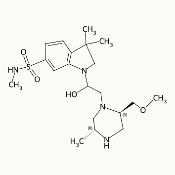 CNS(=O)(=O)c1ccc2c(c1)N(C(O)CN1C[C@@H](C)NC[C@@H]1COC)CC2(C)C